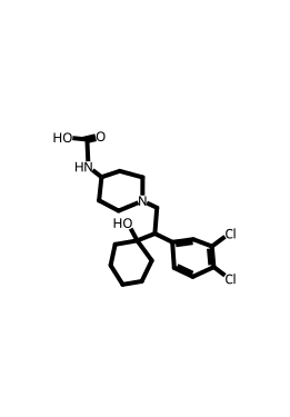 O=C(O)NC1CCN(CC(c2ccc(Cl)c(Cl)c2)C2(O)CCCCC2)CC1